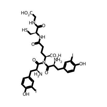 N[C@@H](Cc1ccc(O)c(I)c1)C(=O)N(C(=O)[C@@H](N)Cc1ccc(O)c(I)c1)[C@@H](CCC(=O)N[C@@H](CS)C(=O)NCC(=O)O)C(=O)O